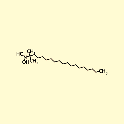 CCCCCCCCCCCCCCCCCC(C)(C)N(O)O